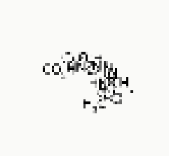 Cc1nc(-c2nnn(C)c2NC(=O)O[C@H](C)c2ccccc2)ccc1NC(=O)[C@H]1CCCC[C@@H]1C(=O)O